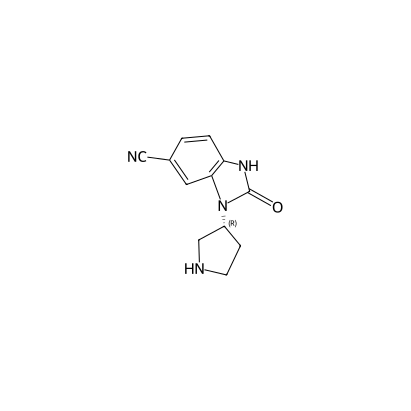 N#Cc1ccc2[nH]c(=O)n([C@@H]3CCNC3)c2c1